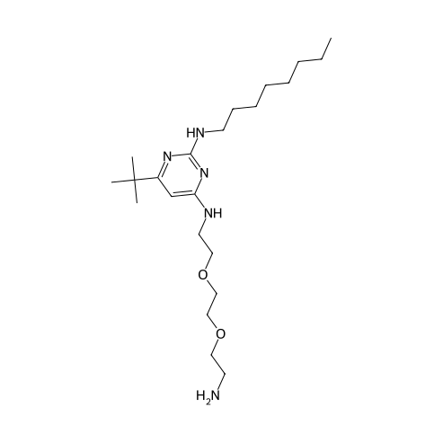 CCCCCCCCNc1nc(NCCOCCOCCN)cc(C(C)(C)C)n1